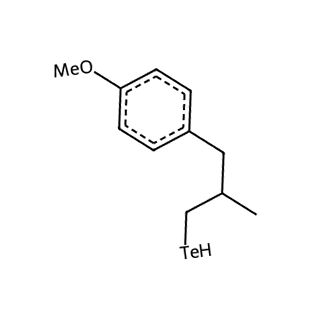 COc1ccc(CC(C)C[TeH])cc1